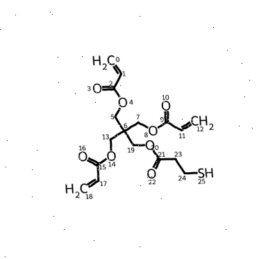 C=CC(=O)OCC(COC(=O)C=C)(COC(=O)C=C)COC(=O)CCS